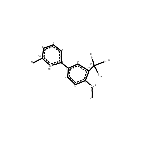 COc1ccc(-c2cccc(C)n2)cc1C(F)(F)F